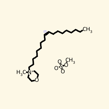 CCCCCCCC/C=C\CCCCCCCC[N+]1(C)CCOCC1.COS(=O)(=O)[O-]